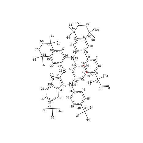 C=CC(F)(F)c1ccc(-c2cc3c(cc2N2c4cc5c(cc4B4c6sc7ccc(C(C)(C)C)cc7c6N(c6ccc(C(C)(C)C)cc6)c6cc(C)cc2c64)C(C)(C)CCC5(C)C)C(C)(C)CCC3(C)C)cc1